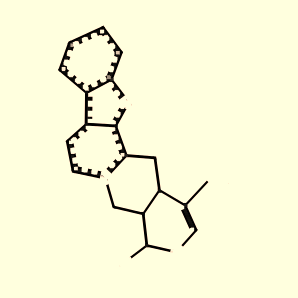 CC1OC=C(C(=O)O)C2Cc3c4nc5ccccc5c-4ccn3CC12